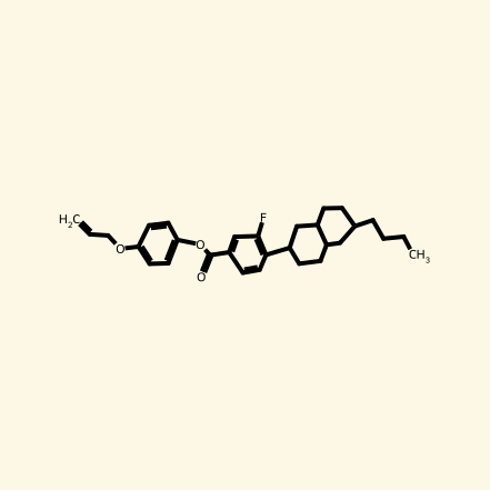 C=CCOc1ccc(OC(=O)c2ccc(C3CCC4CC(CCCC)CCC4C3)c(F)c2)cc1